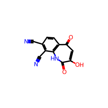 N#Cc1ccc2c(=O)cc(O)c(=O)[nH]c2c1C#N